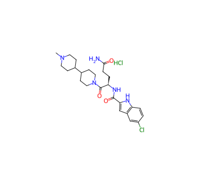 CN1CCC(C2CCN(C(=O)[C@@H](CCC(N)=O)NC(=O)c3cc4cc(Cl)ccc4[nH]3)CC2)CC1.Cl